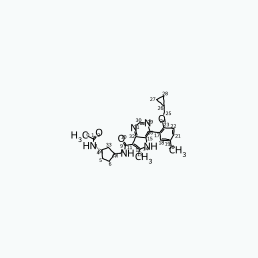 CC(=O)N[C@H]1CC[C@H](NC(=O)c2c(C)[nH]c3c(-c4cc(C)ccc4OCC4CC4)ncnc23)C1